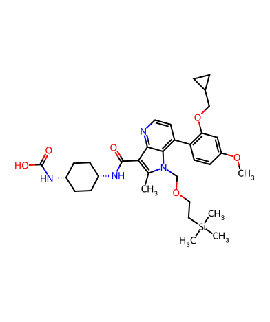 COc1ccc(-c2ccnc3c(C(=O)N[C@H]4CC[C@@H](NC(=O)O)CC4)c(C)n(COCC[Si](C)(C)C)c23)c(OCC2CC2)c1